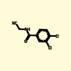 N#CCNC(=O)c1ccc(Cl)c(Cl)c1